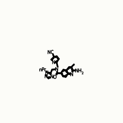 CCCn1ncnc1CN(Cc1ccc(C#N)cn1)C(=O)c1ccc2nc(N)c(C)cc2c1